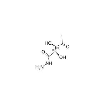 CC(=O)[C@H](O)[C@@H](O)C(=O)NN